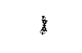 CC(=O)Oc1c(C)cc(C(C)(C)c2cc(C)c(OC(C)(C)C)c(C)c2)cc1C